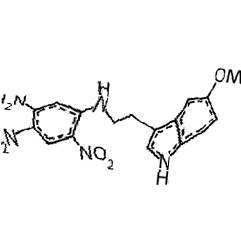 COc1ccc2[nH]cc(CCNc3cc(N)c([N+](=O)[O-])cc3[N+](=O)[O-])c2c1